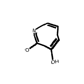 [O]c1ncccc1O